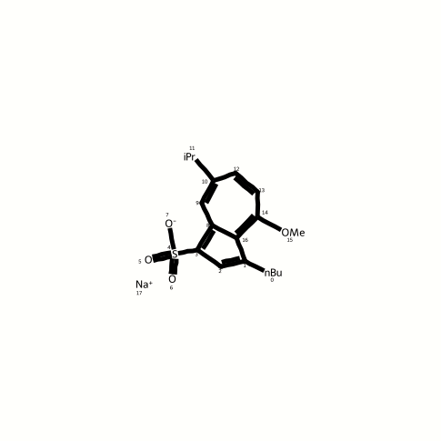 CCCCc1cc(S(=O)(=O)[O-])c2cc(C(C)C)ccc(OC)c1-2.[Na+]